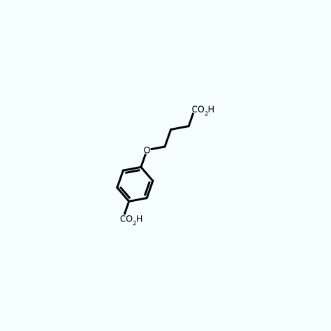 O=C(O)CCCOc1ccc(C(=O)O)cc1